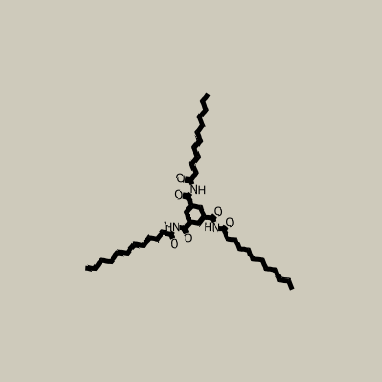 CCCCCCCCCCCC(=O)NC(=O)C1CC(C(=O)NC(=O)CCCCCCCCCCC)CC(C(=O)NC(=O)CCCCCCCCCCC)C1